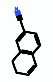 N#Cc1ccc2c(c1)CCC=C2